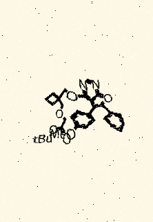 COc1ccc(-c2c(-c3ccccc3)oc3ncnc(OCC4(COCC(=O)OC(C)(C)C)CCC4)c23)cc1